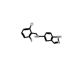 Fc1cccc(Cl)c1CNc1ccc2[nH]ncc2c1